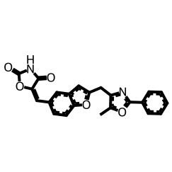 Cc1oc(-c2ccccc2)nc1Cc1cc2cc(C=C3OC(=O)NC3=O)ccc2o1